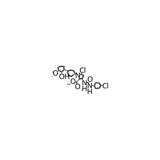 CCOC(=O)c1c(NC(=O)Nc2ccc(Cl)cc2)cc(Cl)n1-c1ccc(-c2cccc(OC)c2O)cc1